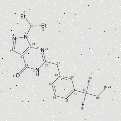 CCC(CC)n1ncc2c(=O)[nH]c(Cc3cccc(C(F)(F)CF)c3)nc21